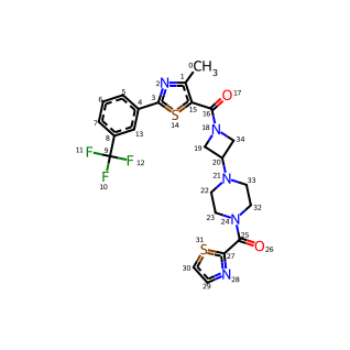 Cc1nc(-c2cccc(C(F)(F)F)c2)sc1C(=O)N1CC(N2CCN(C(=O)c3nccs3)CC2)C1